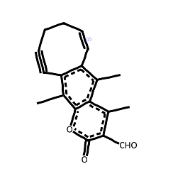 Cc1c2c(c(C)c3c(C)c(C=O)c(=O)oc13)/C=C\CCC#C2